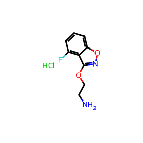 Cl.NCCOc1noc2cccc(F)c12